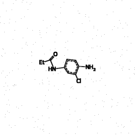 CCC(=O)Nc1ccc(N)c(Cl)c1